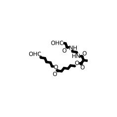 CC(C(=O)NCCNC(=O)CC=O)C(=O)OCCCCCC(=O)OCCCCCC=O